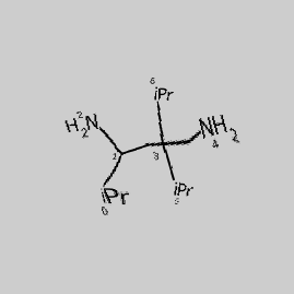 CC(C)C(N)C(N)(C(C)C)C(C)C